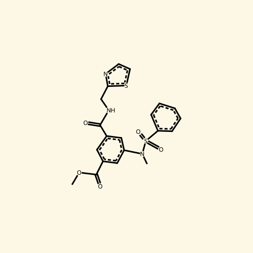 COC(=O)c1cc(C(=O)NCc2nccs2)cc(N(C)S(=O)(=O)c2ccccc2)c1